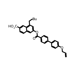 C=CCOc1ccc(-c2ccc(C(=O)Oc3cc(CC(C)CC)c4cc(C(=O)O)ccc4c3)cc2)cc1